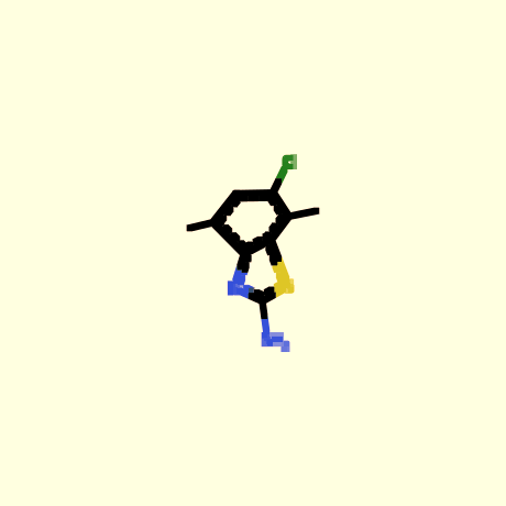 Cc1cc(Cl)c(C)c2sc(N)nc12